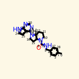 Cc1ccc(CNC(=O)N2CCC[C@@H]3C2CCN3c2ncnc3[nH]ccc23)cc1